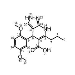 CCCC1=C(C(=O)O)C(c2cc(OC)ccc2OC)c2c[nH]nc2N1